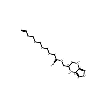 C=CCCCCCCCCC(=O)OCC1COc2cscc2O1